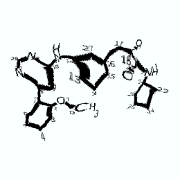 COc1ccccc1-c1cc(Nc2cccc(CS(=O)(=O)NC3CCCC3)c2)ncn1